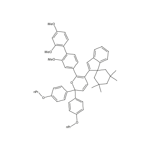 CCCOc1ccc(C2(c3ccc(OCCC)cc3)C=CC(C3=Cc4ccccc4C34CC(C)(C)CC(C)(C)C4)=C(c3ccc(-c4ccc(OC)cc4OC)c(OC)c3)O2)cc1